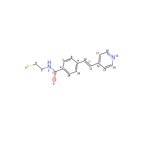 O=C(NCCF)c1ccc(/C=C/c2ccncc2)cc1